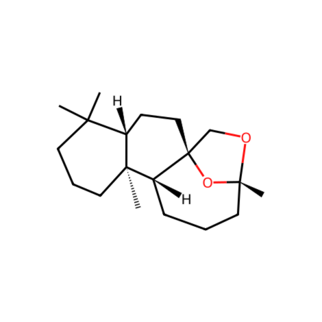 CC1(C)CCC[C@@]2(C)[C@H]1CC[C@]13CO[C@](C)(CCC[C@@H]12)O3